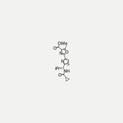 COC(=O)c1nc(-c2csc([C@@H](NC(=O)C3CC3)C(C)C)n2)oc1C